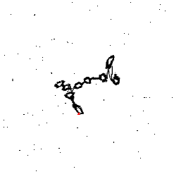 C(=Cc1ccc(N(c2ccccc2)c2ccccc2)cc1)c1ccc(-c2ccc(N(c3ccc(-c4ccccc4)cc3)c3ccc(-c4ccccc4)cc3)cc2)cc1